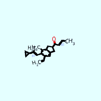 C=Cc1cc2c(c(C)c1/C=C(\C)C1CC1)CC(C(=O)/C=C/C)C2